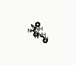 CCN1/C(=C(\C#N)c2ccnc(NCCc3ccccn3)n2)Nc2ccccc21